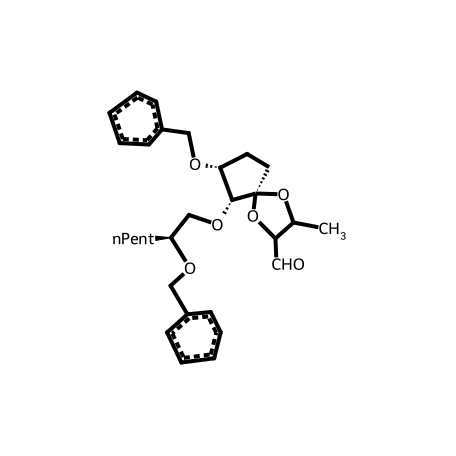 CCCCC[C@@H](CO[C@@H]1[C@H](OCc2ccccc2)CC[C@@]12OC(C)C(C=O)O2)OCc1ccccc1